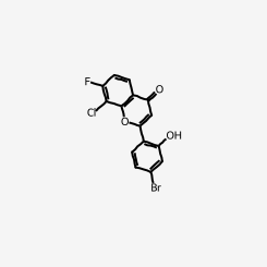 O=c1cc(-c2ccc(Br)cc2O)oc2c(Cl)c(F)ccc12